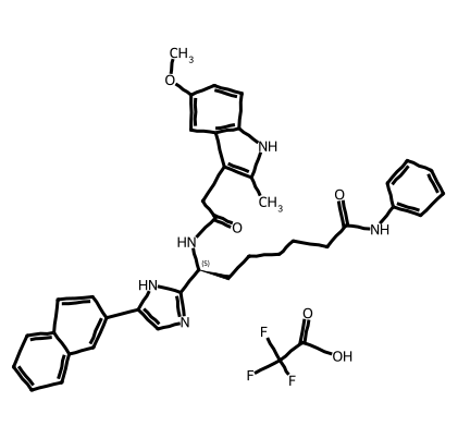 COc1ccc2[nH]c(C)c(CC(=O)N[C@@H](CCCCCC(=O)Nc3ccccc3)c3ncc(-c4ccc5ccccc5c4)[nH]3)c2c1.O=C(O)C(F)(F)F